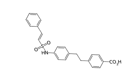 O=C(O)c1ccc(CCc2ccc(NS(=O)(=O)C=Cc3ccccc3)cc2)cc1